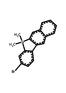 C[Si]1(C)c2cc(Br)ccc2-c2cc3ccccc3cc21